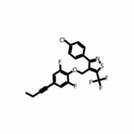 CCC#Cc1cc(F)c(OCc2c(-c3ccc(Cl)cc3)nsc2C(F)(F)F)c(F)c1